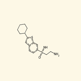 N=S(=O)(CCN)c1ccc2cc(C3CCCCC3)sc2c1